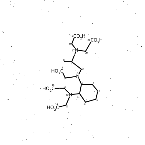 CC(CN(CC(=O)O)C1CCCCC1N(CC(=O)O)CC(=O)O)N(CC(=O)O)CC(=O)O